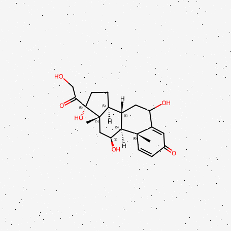 C[C@]12C=CC(=O)C=C1C(O)C[C@@H]1[C@@H]2[C@@H](O)C[C@@]2(C)[C@H]1CC[C@]2(O)C(=O)CO